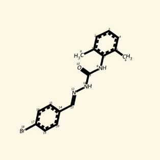 Cc1cccc(C)c1NC(=O)NN=Cc1ccc(Br)cc1